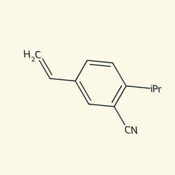 C=Cc1ccc(C(C)C)c(C#N)c1